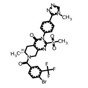 C[C@@H]1Cc2c(nc(S(C)(=O)=O)n(-c3ccc(-c4nncn4C)cc3)c2=O)CN1C(=O)c1ccc(Br)c(C(F)(F)F)c1